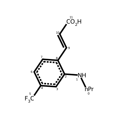 CCCNc1cc(C(F)(F)F)ccc1C=CC(=O)O